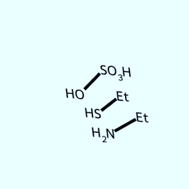 CCN.CCS.O=S(=O)(O)O